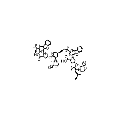 C#C/C(C)=C/C(=C(\N=C)O[C@H]1C[C@@H](C(=O)O)N(c2nc(C(F)(F)CC#Cc3cnc(O[C@H]4C[C@@H](C(=O)O)N(c5nc(C(C)(F)F)nc6c5oc5ccccc56)C4)c(N4CCOC5(COC5)[C@@H]4C)c3)nc3c2oc2ccccc23)C1)N1CCOC2(COC2)[C@H]1C